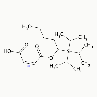 CCCCC(OC(=O)/C=C\C(=O)O)[Si](C(C)C)(C(C)C)C(C)C